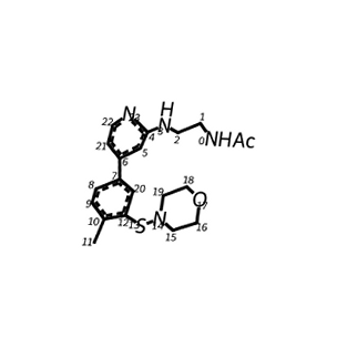 CC(=O)NCCNc1cc(-c2ccc(C)c(SN3CCOCC3)c2)ccn1